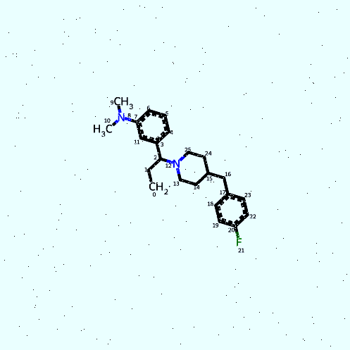 [CH2]CC(c1cccc(N(C)C)c1)N1CCC(Cc2ccc(F)cc2)CC1